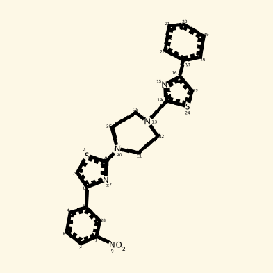 O=[N+]([O-])c1cccc(-c2csc(N3CCN(c4nc(-c5ccccc5)cs4)CC3)n2)c1